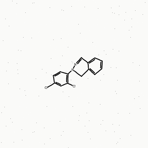 Clc1ccc(N2Cc3ccccc3C=N2)c(Cl)c1